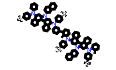 Cc1ccccc1N(c1ccc([Si](C)(C)C)cc1)c1cc2c(c3ccccc13)c1c3ccccc3c(N(c3ccc([Si](C)(C)C)cc3)c3cccc(-c4cccc(N(c5ccc([Si](C)(C)C)cc5)c5cc6c(c7ccccc57)c5c7ccccc7c(N(c7ccccc7)c7ccc([Si](C)(C)C)cc7)cc5n6-c5ccc6ccccc6c5)c4)c3C)cc1n2-c1ccc2ccccc2c1